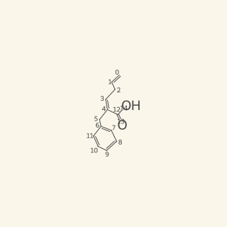 C=CCC=C(Cc1ccccc1)C(=O)O